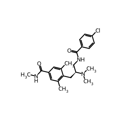 CNC(=O)c1cc(C)c(C[C@@H](CNC(=O)c2ccc(Cl)cc2)N(C)C)c(C)c1